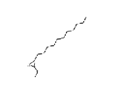 CCCCCCCCCCCC1OC1CI